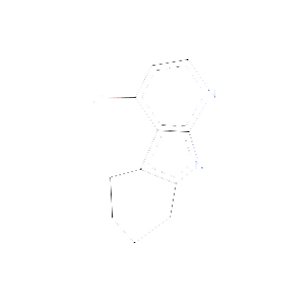 Brc1ccnc2[nH]c3c(c12)CCCC3